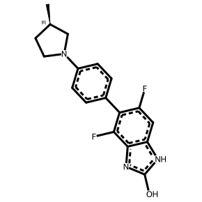 C[C@@H]1CCN(c2ccc(-c3c(F)cc4[nH]c(O)nc4c3F)cc2)C1